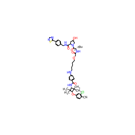 CC(C)(C)[C@H](NC(=O)COCCCCCNc1ccc(C(=O)N[C@H]2C(C)(C)[C@H](Oc3ccc(C#N)c(Cl)c3)C2(C)C)cc1)C(=O)N1C[C@H](O)CC1C(=O)NCc1ccc(-c2ncns2)cc1